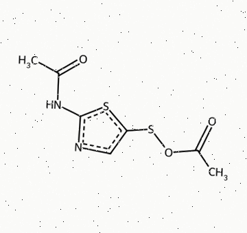 CC(=O)Nc1ncc(SOC(C)=O)s1